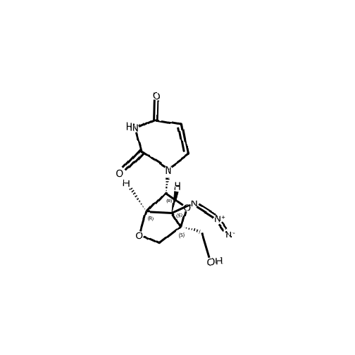 [N-]=[N+]=N[C@H]1[C@H]2OC[C@]1(CO)O[C@H]2n1ccc(=O)[nH]c1=O